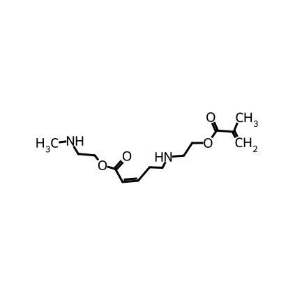 C=C(C)C(=O)OCCNCC/C=C\C(=O)OCCNC